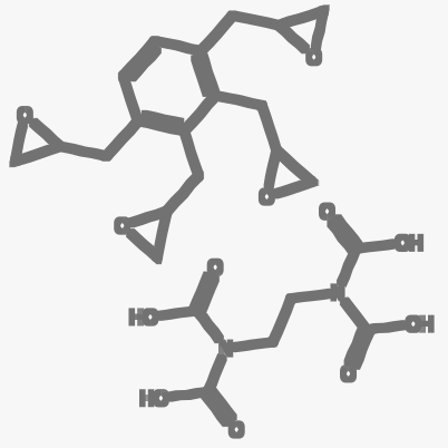 O=C(O)N(CCN(C(=O)O)C(=O)O)C(=O)O.c1cc(CC2CO2)c(CC2CO2)c(CC2CO2)c1CC1CO1